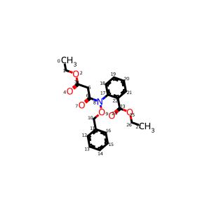 CCOC(=O)CC(=O)N(OCc1ccccc1)c1ccccc1C(=O)OCC